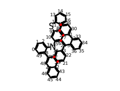 c1ccc(N(c2ccc3c(c2)sc2ccccc23)c2ccccc2-c2cc3ccccc3c3ccccc23)c(-c2ccc3ccccc3c2)c1